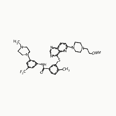 COCCN1CCN(c2ccc3ncnc(Sc4cc(C(=O)Nc5cc(N6CCN(C)CC6)cc(C(F)(F)F)c5)ccc4C)c3n2)CC1